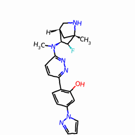 CN(c1ccc(-c2ccc(-n3cccn3)cc2O)nn1)[C@H]1[C@@H]2CN[C@@](C)(C2)[C@H]1F